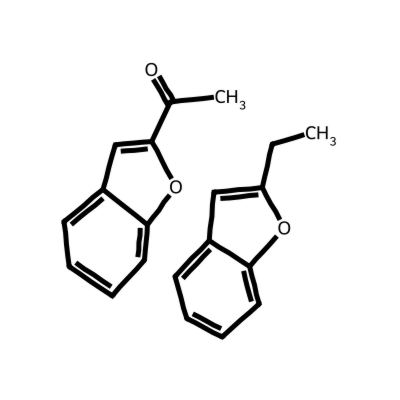 CC(=O)c1cc2ccccc2o1.CCc1cc2ccccc2o1